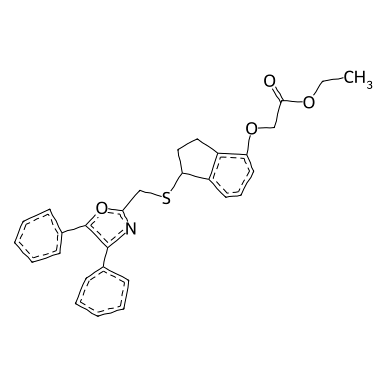 CCOC(=O)COc1cccc2c1CCC2SCc1nc(-c2ccccc2)c(-c2ccccc2)o1